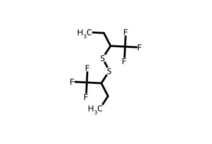 CCC(SSC(CC)C(F)(F)F)C(F)(F)F